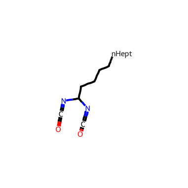 CCCCCCCCCCCC(N=C=O)N=C=O